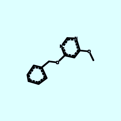 COc1cc(OCc2ccccc2)ncn1